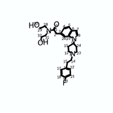 O=C(Cc1ccc2ccn(C3CCN(CCc4ccc(F)cc4)CC3)c2c1)N(CCO)CCO